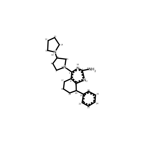 Nc1nc2c(c(N3CCC(N4CCCC4)C3)n1)CCCC2c1ccccc1